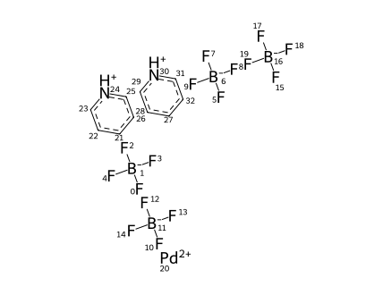 F[B-](F)(F)F.F[B-](F)(F)F.F[B-](F)(F)F.F[B-](F)(F)F.[Pd+2].c1cc[nH+]cc1.c1cc[nH+]cc1